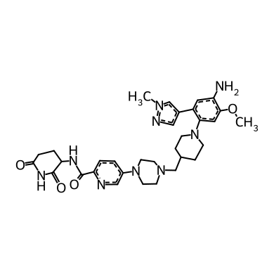 COc1cc(N2CCC(CN3CCN(c4ccc(C(=O)NC5CCC(=O)NC5=O)nc4)CC3)CC2)c(-c2cnn(C)c2)cc1N